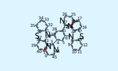 c1cnc(-c2cc(N3c4ccccc4Sc4ccccc43)c(-c3ncccn3)cc2N2c3ccccc3Sc3ccccc32)nc1